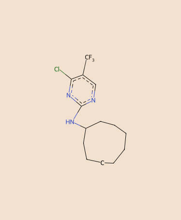 FC(F)(F)c1cnc(NC2CCCCCCCC2)nc1Cl